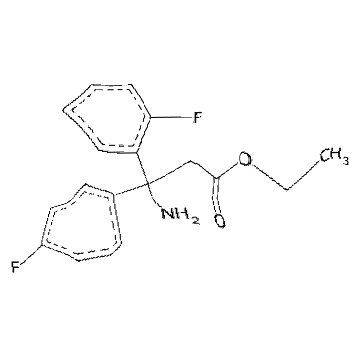 CCOC(=O)CC(N)(c1ccc(F)cc1)c1ccccc1F